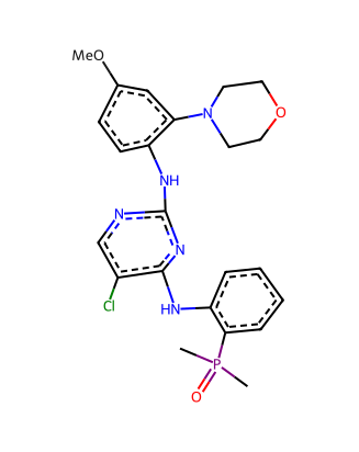 COc1ccc(Nc2ncc(Cl)c(Nc3ccccc3P(C)(C)=O)n2)c(N2CCOCC2)c1